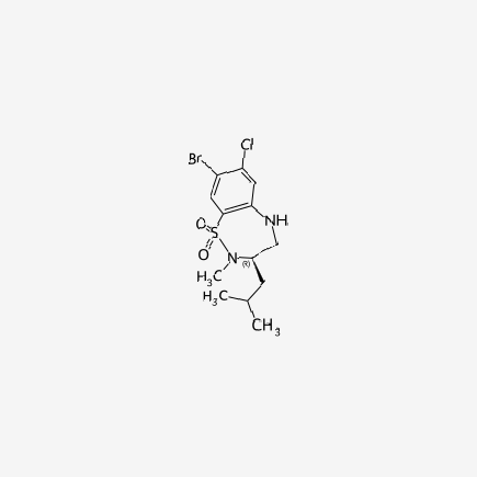 CC(C)C[C@@H]1CNc2cc(Cl)c(Br)cc2S(=O)(=O)N1C